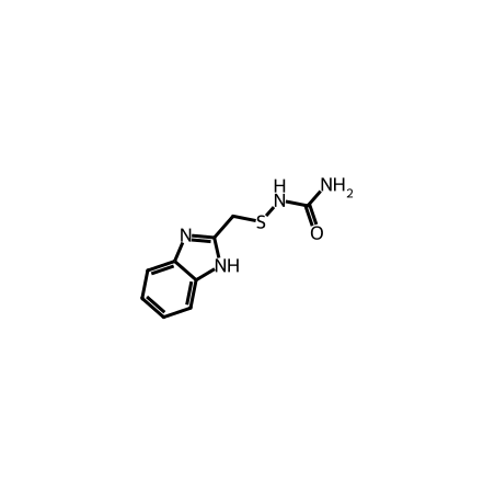 NC(=O)NSCc1nc2ccccc2[nH]1